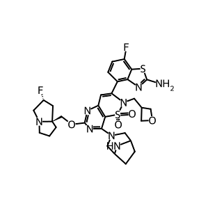 Nc1nc2c(C3=Cc4nc(OC[C@@]56CCCN5C[C@H](F)C6)nc(N5CC6CCC(C5)N6)c4S(=O)(=O)N3CC3COC3)ccc(F)c2s1